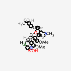 CN(C)CCC=C1c2ccccc2COc2ccccc21.COc1ccc2cc([C@H](C)C(=O)O)ccc2c1.COc1ccc2cc([C@H](C)C(=O)O)ccc2c1.COc1ccc2cc([C@H](C)C(=O)O)ccc2c1.Oc1nc2cc(Cl)ccc2o1